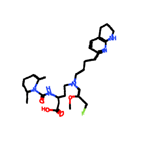 COC(CF)CN(CCCCc1ccc2c(n1)NCCC2)CCC(NC(=O)N1C(C)CCCC1C)C(=O)O